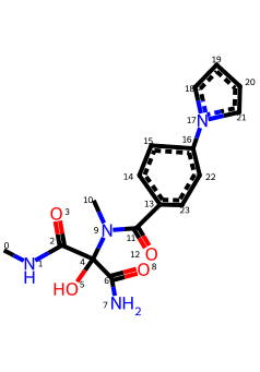 CNC(=O)C(O)(C(N)=O)N(C)C(=O)c1ccc(-n2cccc2)cc1